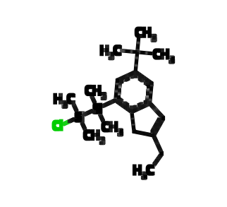 CCC1=Cc2cc(C(C)(C)C)cc([Si](C)(C)[Si](C)(C)Cl)c2C1